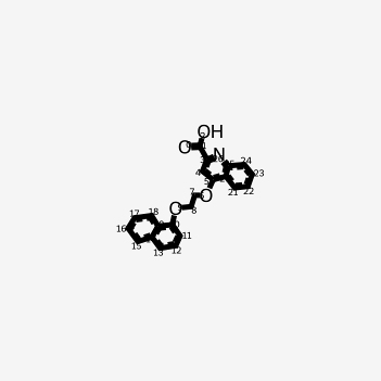 O=C(O)c1cc(OCCOc2cccc3ccccc23)c2ccccc2n1